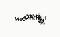 COc1ccc(Cn2cc(-c3csc(Nc4nccc(C)n4)n3)cn2)cc1